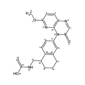 COc1ccc2ncc(=O)n(-c3ccc4c(c3)CCCC4CNC(=O)O)c2n1